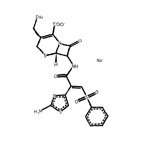 CC(=O)OCC1=C(C(=O)[O-])N2C(=O)C(NC(=O)C(=CS(=O)(=O)c3ccccc3)c3csc(N)n3)[C@@H]2SC1.[Na+]